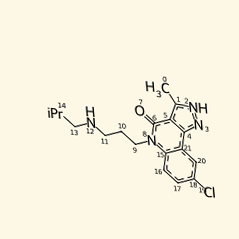 Cc1[nH]nc2c1c(=O)n(CCCNCC(C)C)c1ccc(Cl)cc21